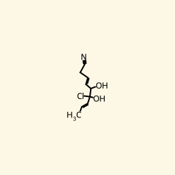 CC=CC(O)(Cl)C(O)C=CCC#N